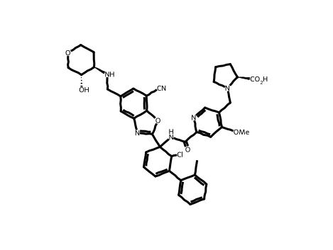 COc1cc(C(=O)NC2(c3nc4cc(CN[C@@H]5CCOC[C@H]5O)cc(C#N)c4o3)C=CC=C(c3ccccc3C)C2Cl)ncc1CN1CCC[C@H]1C(=O)O